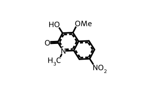 COc1c(O)c(=O)n(C)c2cc([N+](=O)[O-])ccc12